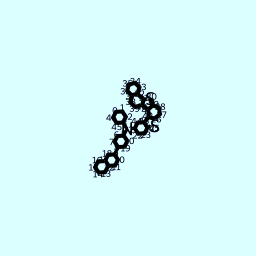 c1ccc(N(c2ccc(-c3ccc4ccccc4c3)cc2)c2ccc3sc4ccc5sc6c7ccccc7ccc6c5c4c3c2)cc1